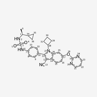 C[C@H](NS(=O)(=O)Nc1ccc(-c2c(C#N)c3ccc(Oc4ncccn4)cc3n2C2CCC2)cc1)C1CC1